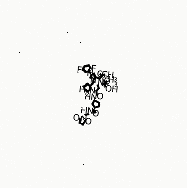 CC(C)(C)[C@H](c1cc(-c2cc(F)ccc2F)cn1Cc1ccccc1)N(CC[C@H](N)C(=O)N[C@@H]1CC[C@@H](C(=O)NCCN2C(=O)C=CC2=O)C1)C(=O)CO